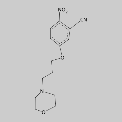 N#Cc1cc(OCCCN2CCOCC2)ccc1[N+](=O)[O-]